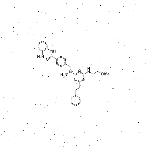 COCCNc1nc(CCc2ccccc2)nc(N(N)Cc2ccc(C(=O)Nc3ccccc3N)cc2)n1